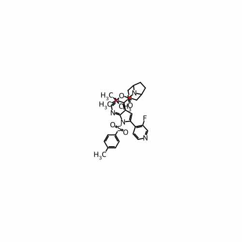 Cc1ccc(S(=O)(=O)n2c(-c3ccncc3F)cc3c(N4CC5CCC(C4)N5C(=O)OC(C)(C)C)ncnc32)cc1